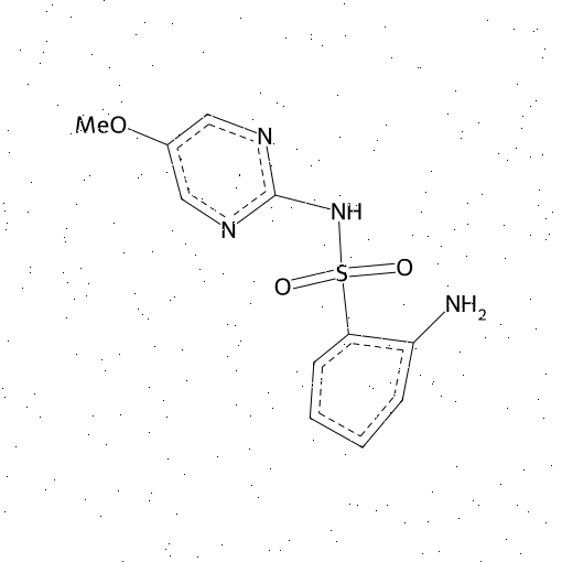 COc1cnc(NS(=O)(=O)c2ccccc2N)nc1